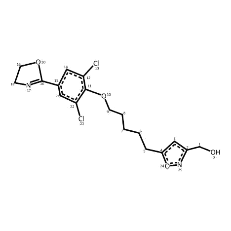 OCc1cc(CCCCCOc2c(Cl)cc(C3=NCCO3)cc2Cl)on1